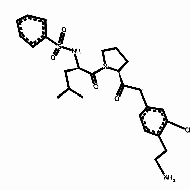 CC(C)C[C@@H](NS(=O)(=O)c1ccccc1)C(=O)N1CCC[C@H]1C(=O)[CH]c1ccc(CCN)c(Cl)c1